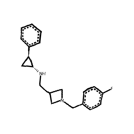 Fc1ccc(CN2CC(CN[C@@H]3C[C@H]3c3ccccc3)C2)cc1